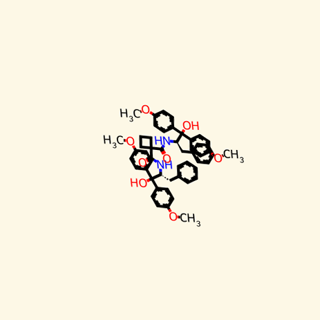 COc1ccc(C(O)(c2ccc(OC)cc2)[C@@H](Cc2ccccc2)NC(=O)C2(C(=O)N[C@H](Cc3ccccc3)C(O)(c3ccc(OC)cc3)c3ccc(OC)cc3)CCC2)cc1